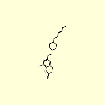 CC/C=C/CC[C@H]1CC[C@H](CCc2cc(F)c(OC(F)F)c(F)c2)CC1